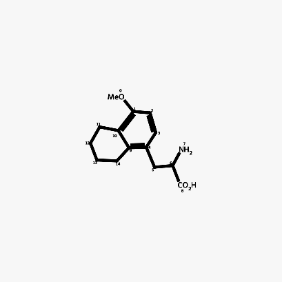 COc1ccc(CC(N)C(=O)O)c2c1CCCC2